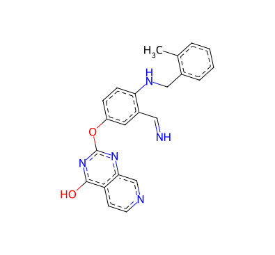 Cc1ccccc1CNc1ccc(Oc2nc(O)c3ccncc3n2)cc1C=N